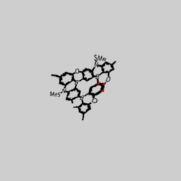 CSN1c2cc(C)c(B3c4ccccc4Oc4cc(C)cc(C)c43)cc2B2c3cc4c(cc3Oc3cc(C)cc1c32)N(SC)c1cc(C)cc2c1B4c1ccccc1O2